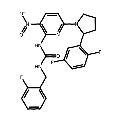 O=C(NCc1ccccc1F)Nc1nc(N2CCCC2c2cc(F)ccc2F)ccc1[N+](=O)[O-]